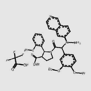 CCOc1cc(C(C(=O)N2CCC(C(=O)OC)C2c2ccccc2SC(C)C)N(N)c2ccc3cnccc3c2)ccc1OC(C)C.O=C(O)C(F)(F)F